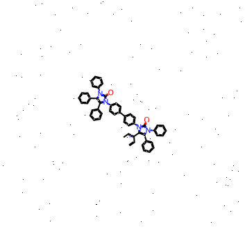 C=C/C(=C\C)c1c(-c2ccccc2)n(-c2ccccc2)c(=O)n1-c1ccc(-c2ccc(-n3c(-c4ccccc4)c(-c4ccccc4)n(-c4ccccc4)c3=O)cc2)cc1